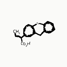 C/C=C(/C(=O)O)c1ccc2c(c1)Cc1ccccc1S2